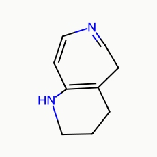 C1=CC2=C(CC=N1)CCCN2